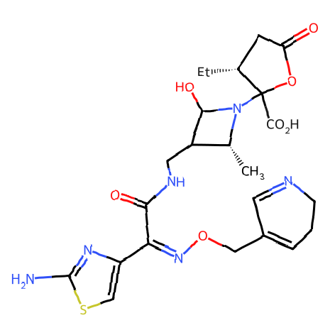 CC[C@@H]1CC(=O)OC1(C(=O)O)N1C(O)C(CNC(=O)/C(=N\OCC2=CCCN=C2)c2csc(N)n2)[C@H]1C